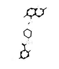 Cc1ccc2c(NC[C@H]3CC[C@H](NC(=O)c4cc(C(F)(F)F)ccc4Cl)CC3)c(C)ccc2n1